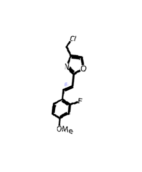 COc1ccc(/C=C/c2nc(CCl)co2)c(F)c1